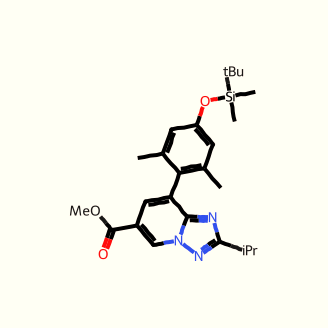 COC(=O)c1cc(-c2c(C)cc(O[Si](C)(C)C(C)(C)C)cc2C)c2nc(C(C)C)nn2c1